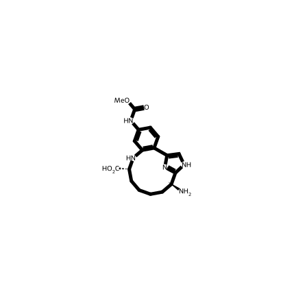 COC(=O)Nc1ccc2c(c1)N[C@@H](C(=O)O)CCCC[C@H](N)c1nc-2c[nH]1